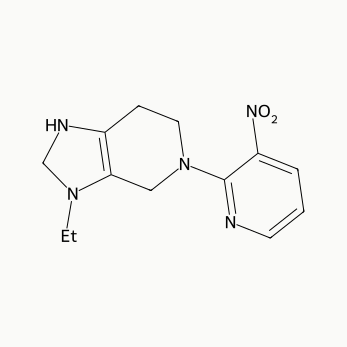 CCN1CNC2=C1CN(c1ncccc1[N+](=O)[O-])CC2